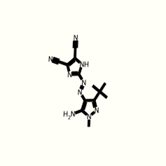 Cn1nc(C(C)(C)C)c(/N=N/c2nc(C#N)c(C#N)[nH]2)c1N